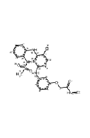 CCNC(=O)COc1cccc(Nc2ncc(Cl)c(Nc3ccccc3NS(C)(=O)=O)n2)c1